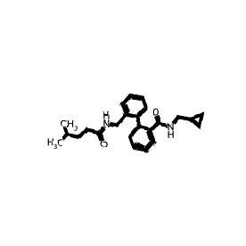 CC(C)CCC(=O)NCc1ccccc1-c1ccccc1C(=O)NCC1CC1